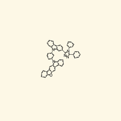 c1ccc(-c2nnc(-c3ccc4c5ccccc5n(-c5cccc(-n6c7ccccc7c7cc8oc9ccccc9c8cc76)c5)c4c3)n2-c2ccccc2)cc1